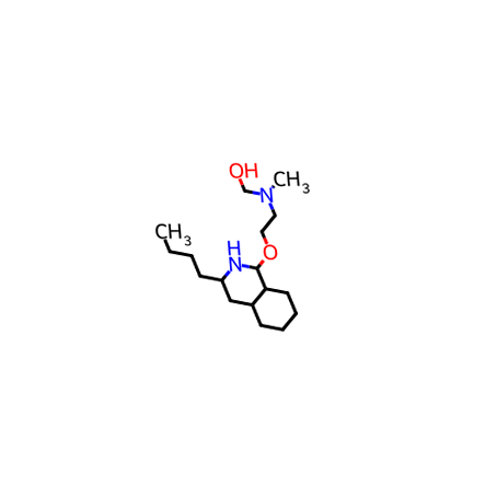 CCCCC1CC2CCCCC2C(OCCN(C)CO)N1